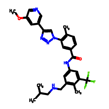 COc1cncc(-c2cn(-c3cc(C(=O)Nc4cc(CNCC(C)C)c(C)c(C(F)(F)F)c4)ccc3C)nn2)c1